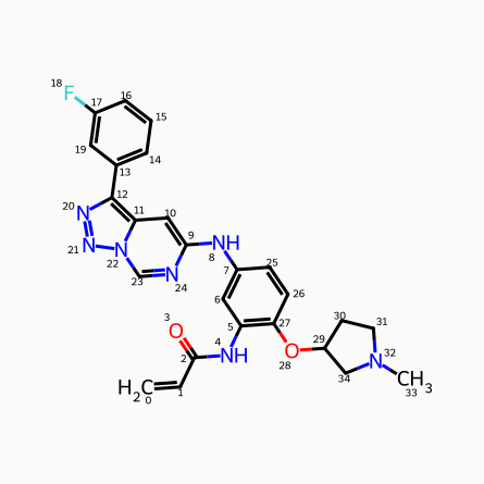 C=CC(=O)Nc1cc(Nc2cc3c(-c4cccc(F)c4)nnn3cn2)ccc1OC1CCN(C)C1